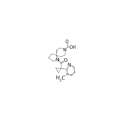 Cc1cccnc1C1(C(=O)N2CCCC23CCN(C(=O)O)CC3)CC1